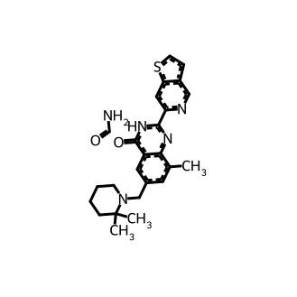 Cc1cc(CN2CCCCC2(C)C)cc2c(=O)[nH]c(-c3cc4sccc4cn3)nc12.NC=O